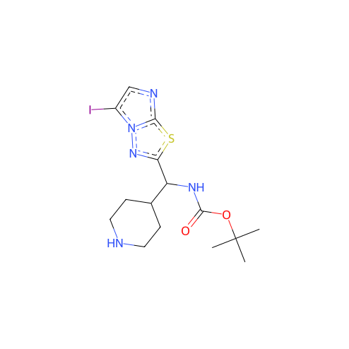 CC(C)(C)OC(=O)NC(c1nn2c(I)cnc2s1)C1CCNCC1